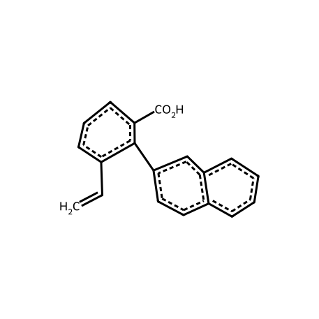 C=Cc1cccc(C(=O)O)c1-c1ccc2ccccc2c1